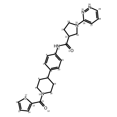 O=C(Nc1ccc(C2CCN(C(=O)c3cccs3)CC2)cc1)C1CCN(c2cccnn2)C1